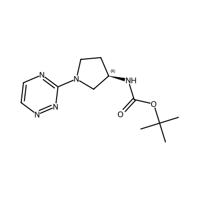 CC(C)(C)OC(=O)N[C@@H]1CCN(c2nccnn2)C1